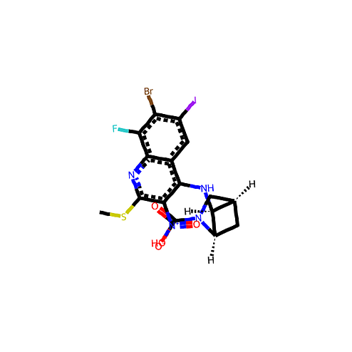 CSc1nc2c(F)c(Br)c(I)cc2c(N[C@H]2[C@@H]3C[C@H]2N(C(=O)O)C3)c1[N+](=O)[O-]